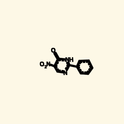 O=c1[nH]c(-c2ccccc2)ncc1[N+](=O)[O-]